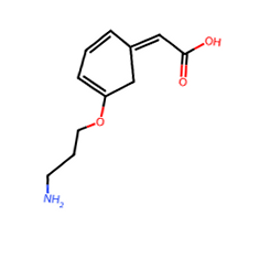 NCCCOC1=CC=CC(=CC(=O)O)C1